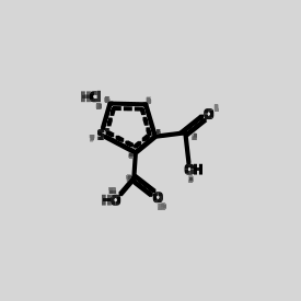 Cl.O=C(O)c1ccsc1C(=O)O